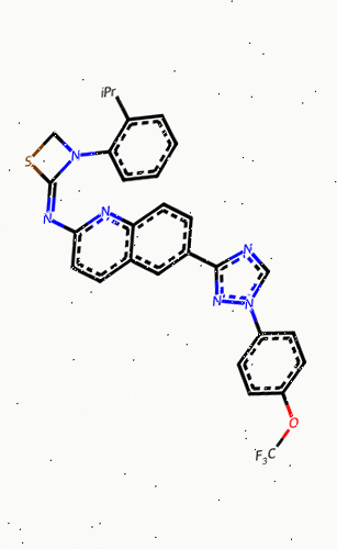 CC(C)c1ccccc1N1CSC1=Nc1ccc2cc(-c3ncn(-c4ccc(OC(F)(F)F)cc4)n3)ccc2n1